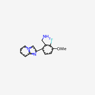 COc1ccc(-c2cn3ccccc3n2)c(CN)c1F